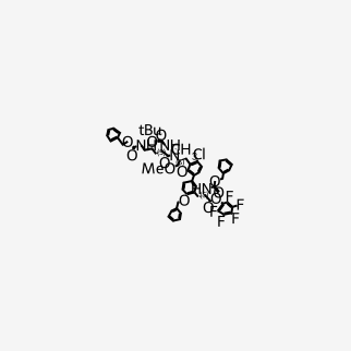 COC(=O)[C@H](Cc1cc(-c2ccc(OCc3ccccc3)c(C[C@H](NC(=O)OCc3ccccc3)C(=O)Oc3c(F)c(F)c(F)c(F)c3F)c2)ccc1Cl)N(C)C(=O)[C@H](CCCNC(=O)OCc1ccccc1)NC(=O)OC(C)(C)C